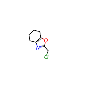 ClCc1nc2c(o1)CCCC2